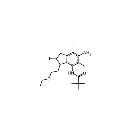 CCOCCN1c2c(c(C)c(N)c(C)c2NC(=O)C(C)(C)C)CC1I